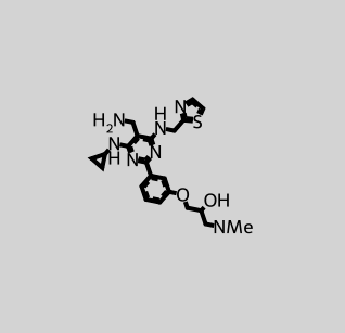 CNCC(O)COc1cccc(-c2nc(NCc3nccs3)c(CN)c(NC3CC3)n2)c1